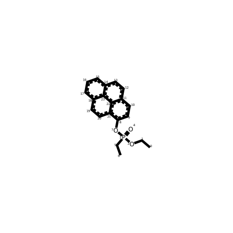 CCOP(=O)(CC)Oc1ccc2ccc3cccc4ccc1c2c34